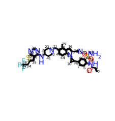 C=CC(=O)Nc1ccc(C2CC2n2c(C#N)cc3c(C)c(CN4CCC(Nc5ncnc6sc(CC(F)(F)F)cc56)CC4)ccc32)cc1S(N)(=O)=O